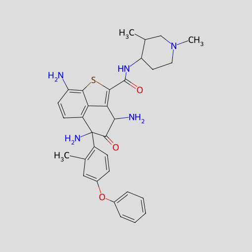 Cc1cc(Oc2ccccc2)ccc1C1(N)C(=O)C(N)c2c(C(=O)NC3CCN(C)CC3C)sc3c(N)ccc1c23